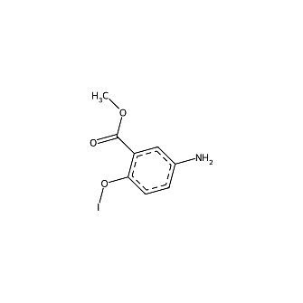 COC(=O)c1cc(N)ccc1OI